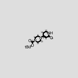 CC(C)(C)OC(=O)N1CCN(C2=CC(=O)NCC2)CC1